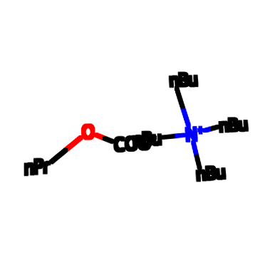 CCCC[N+](CCCC)(CCCC)CCCC.CCCOC(=O)[O-]